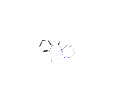 COC1(C(=O)c2ccccc2)CNCCN1C